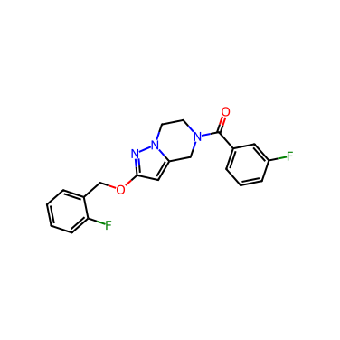 O=C(c1cccc(F)c1)N1CCn2nc(OCc3ccccc3F)cc2C1